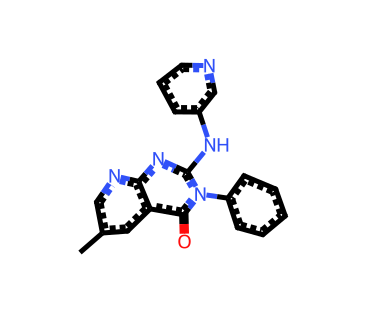 Cc1cnc2nc(Nc3cccnc3)n(-c3ccccc3)c(=O)c2c1